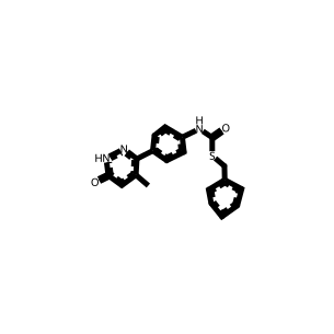 Cc1cc(=O)[nH]nc1-c1ccc(NC(=O)SCc2ccccc2)cc1